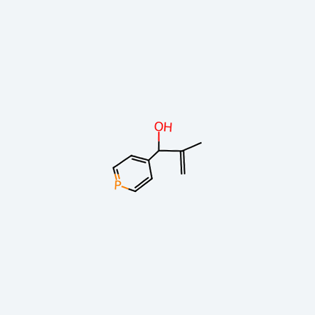 C=C(C)C(O)c1ccpcc1